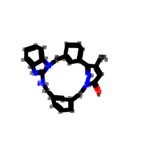 Cc1cc(=O)n2nc1-c1cccc(c1)Cn1c(nc3ccccc31)NCc1cccc(c1)C2